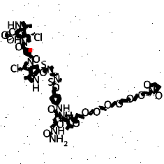 Cc1c[nH]c2c(OC(=S)N(C)CCN(C)C(=S)OCc3ccc(NC(=O)[C@H](CCCNC(N)=O)NC(=O)[C@@H](NC(=O)CCOCCOCCOCCOCCOCCOCCN4C(=O)C=CC4=O)C(C)C)cc3)cc3c(c12)[C@H](CCl)CN3C(=O)C12CC(C(=O)N3C[C@@H](CCl)c4c3cc(OP(O)O)c3[nH]cc(C)c43)(C1)C2